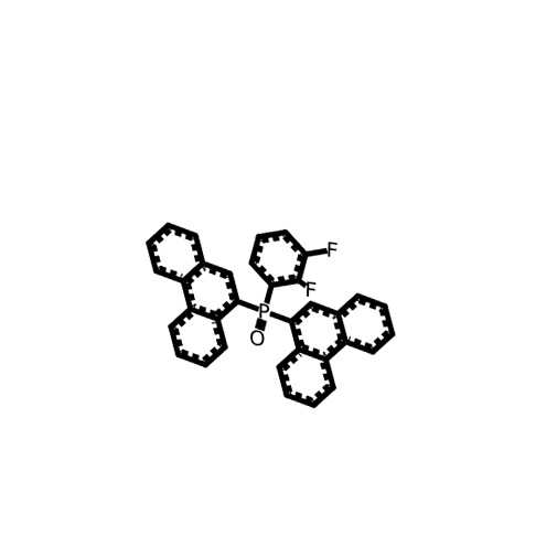 O=P(c1cccc(F)c1F)(c1cc2ccccc2c2ccccc12)c1cc2ccccc2c2ccccc12